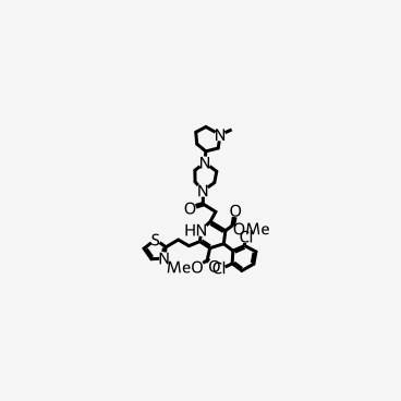 COC(=O)C1=C(CCc2nccs2)NC(CC(=O)N2CCN(C3CCCN(C)C3)CC2)=C(C(=O)OC)C1c1c(Cl)cccc1Cl